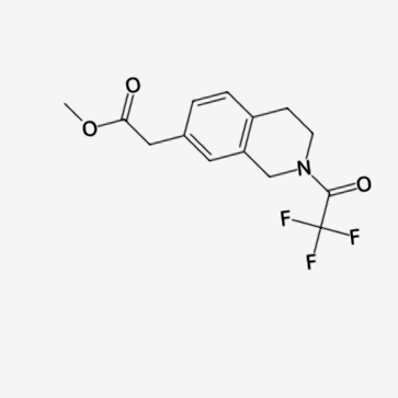 COC(=O)Cc1ccc2c(c1)CN(C(=O)C(F)(F)F)CC2